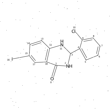 O=C1NC(c2ccccc2Cl)Nc2ccc(I)cc21